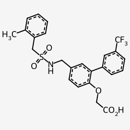 Cc1ccccc1CS(=O)(=O)NCc1ccc(OCC(=O)O)c(-c2cccc(C(F)(F)F)c2)c1